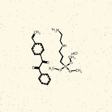 C=Cc1ccc(C(=O)C(=O)c2ccccc2)cc1.CO[Si](CCCNCCN)(OC)OC.Cl